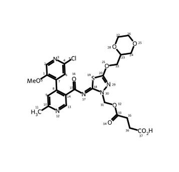 COc1cnc(Cl)cc1-c1cc(C)ncc1C(=O)N=c1sc(OCC2COCCO2)nn1COC(=O)CCC(=O)O